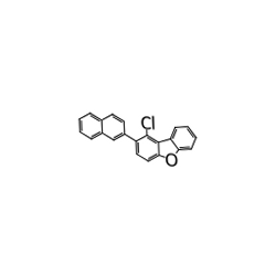 Clc1c(-c2ccc3ccccc3c2)ccc2oc3ccccc3c12